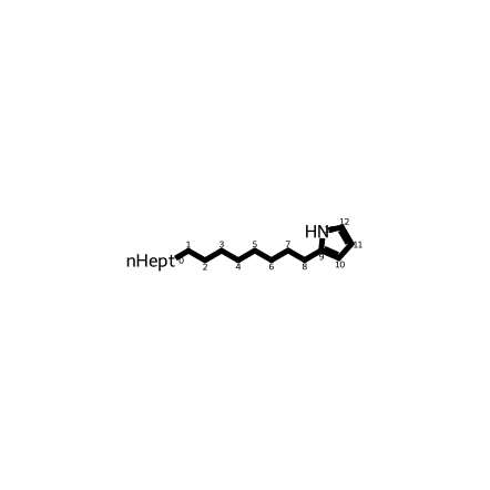 CCCCCCCCCCCCCCCc1ccc[nH]1